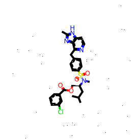 Cc1nc2c(Cc3ccc(S(=O)(=O)N(C)[C@H](COC(=O)c4cccc(Cl)c4)CC(C)C)cc3)nccc2[nH]1